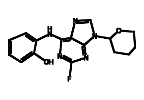 Oc1ccccc1Nc1nc(F)nc2c1ncn2C1CCCCO1